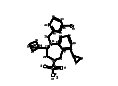 O=S(=O)(N1Cc2c(C3CC3)cccc2N(Cc2cc(Br)ccn2)C(C23CC(C2)C3)C1)C(F)(F)F